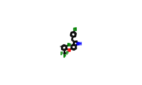 FC(F)(F)c1c[c]cc(Br)c1Oc1ccc2[nH]cc(Cc3ccc(Cl)cc3)c2c1